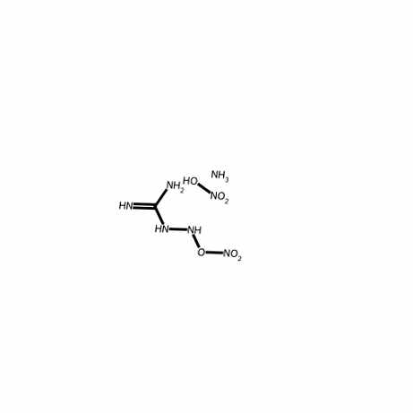 N.N=C(N)NNO[N+](=O)[O-].O=[N+]([O-])O